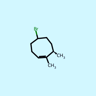 C/C1=C/CCC(Br)CC[C@H]1C